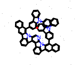 c1ccc(-n2c3ccccc3c3cc(-c4c5ccccc5cc5c6cccc7c8c9c%10cccc%11c%12cc%13ccccc%13c(-c%13ccc%14c(c%13)c%13ccccc%13n%14-c%13ccccc%13)c%12n(c9ncc8n(c45)c67)c%11%10)ccc32)cc1